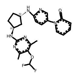 Cc1nc(N[C@H]2CC[C@H](Nc3ccc(-n4ccccc4=O)cn3)C2)nc(C)c1OC(F)F